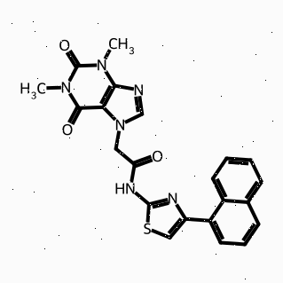 Cn1c(=O)c2c(ncn2CC(=O)Nc2nc(-c3cccc4ccccc34)cs2)n(C)c1=O